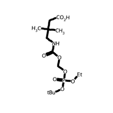 CCOP(=O)(OCOC(=O)NCC(C)(C)CC(=O)O)OC(C)(C)C